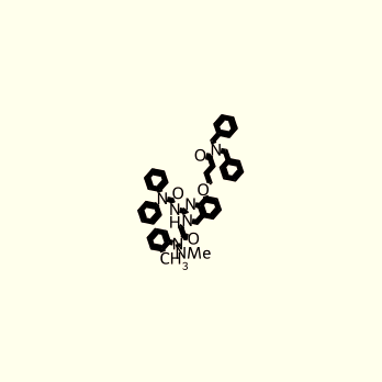 CNN(C(=O)CN1Cc2cccc(OCCCC(=O)N(Cc3ccccc3)Cc3ccccc3)c2N=C1NC(=O)N(c1ccccc1)c1ccccc1)c1ccccc1C